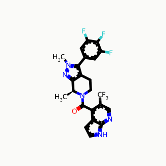 C[C@H]1c2nn(C)c(-c3cc(F)c(F)c(F)c3)c2CCN1C(=O)c1c(C(F)(F)F)cnc2[nH]ccc12